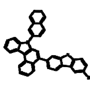 Brc1ccc2sc3cc(-c4cc5c(c6ccccc46)c4ccccc4n5-c4ccc5ccccc5c4)ccc3c2c1